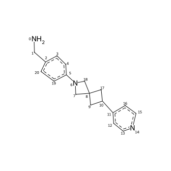 NCc1ccc(N2CC3(CC(c4ccncc4)C3)C2)cc1